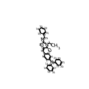 CCN1C(=O)/C(=C\c2ccc(N(c3ccccc3)c3ccccc3)cc2)O/C1=N/Cc1ccccc1